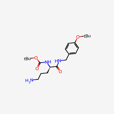 CC(C)(C)OC(=O)N[C@H](CCCN)C(=O)NCc1ccc(OC(C)(C)C)cc1